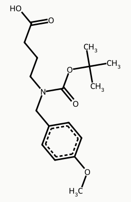 COc1ccc(CN(CCCC(=O)O)C(=O)OC(C)(C)C)cc1